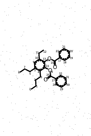 CCCCc1c(CCC)cc(CC)c(OC(=O)c2ccccc2)c1OC(=O)c1ccccc1